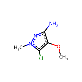 COc1c(N)nn(C)c1Cl